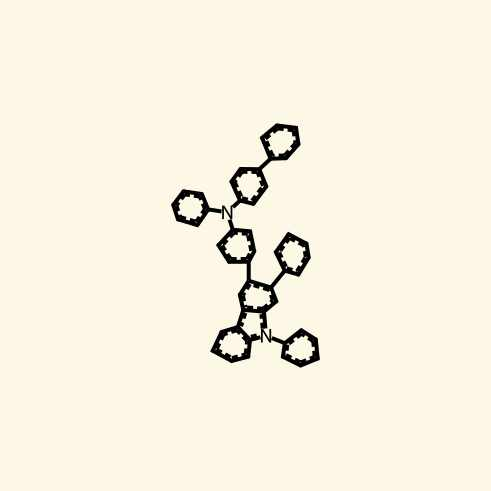 c1ccc(-c2ccc(N(c3ccccc3)c3ccc(-c4cc5c6ccccc6n(-c6ccccc6)c5cc4-c4ccccc4)cc3)cc2)cc1